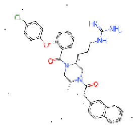 C[C@@H]1CN(C(=O)c2ccccc2Oc2ccc(Cl)cc2)[C@@H](CCCNC(=N)N)CN1C(=O)Cc1ccc2ccccc2c1